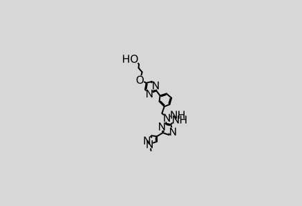 Cn1cc(-c2cnc3c(n2)N(Cc2cccc(-c4ncc(OCCCO)cn4)c2)NN3)cn1